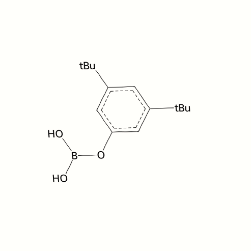 CC(C)(C)c1cc(OB(O)O)cc(C(C)(C)C)c1